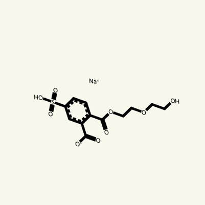 O=C([O-])c1cc(S(=O)(=O)O)ccc1C(=O)OCCOCCO.[Na+]